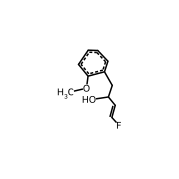 COc1ccccc1CC(O)C=CF